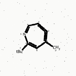 CC1=C=CC=NC(C(C)(C)C)=C1